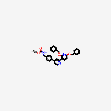 CC(C)(C)OC(=O)NCc1ccc(-c2ccnc(-c3ccc(OCc4ccccc4)nc3OCc3ccccc3)c2)cc1